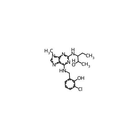 CCC(Nc1nc(NCc2cccc(Cl)c2O)c2ncn(C)c2n1)C(C)O